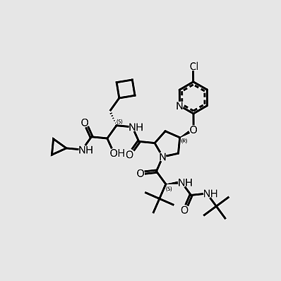 CC(C)(C)NC(=O)N[C@H](C(=O)N1C[C@H](Oc2ccc(Cl)cn2)CC1C(=O)N[C@@H](CC1CCC1)C(O)C(=O)NC1CC1)C(C)(C)C